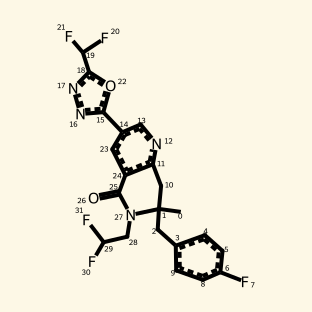 CC1(Cc2ccc(F)cc2)Cc2ncc(-c3nnc(C(F)F)o3)cc2C(=O)N1CC(F)F